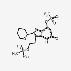 CC(C)(C)[Si](C)(C)OCCc1c2[nH]c(=O)cc(OS(=O)(=O)C(F)(F)F)c2nn1C1CCCCO1